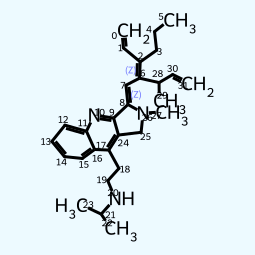 C=C/C(CCC)=C(\C=C1\c2nc3ccccc3c(CCNC(C)C)c2CN1C)C(C)C=C